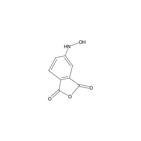 O=C1OC(=O)c2cc(NO)ccc21